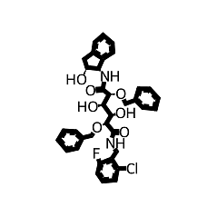 O=C(NCc1c(F)cccc1Cl)[C@H](OCc1ccccc1)[C@H](O)[C@@H](O)[C@@H](OCc1ccccc1)C(=O)N[C@H]1c2ccccc2C[C@H]1O